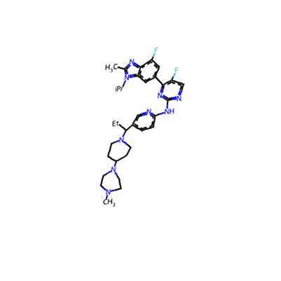 CCC(c1ccc(Nc2ncc(F)c(-c3cc(F)c4nc(C)n(C(C)C)c4c3)n2)nc1)N1CCC(N2CCN(C)CC2)CC1